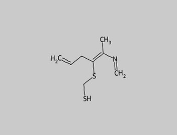 C=CC/C(SCS)=C(\C)N=C